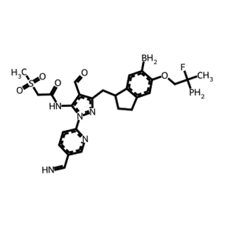 Bc1cc2c(cc1OCC(C)(F)P)CCC2Cc1nn(-c2ccc(C=N)cn2)c(NC(=O)CS(C)(=O)=O)c1C=O